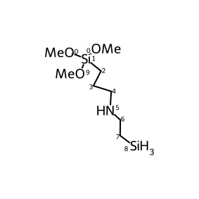 CO[Si](CCCNCC[SiH3])(OC)OC